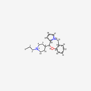 CCCN1CCC(C2Oc3ccccc3Cn3cccc32)CC1